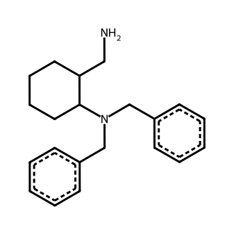 NCC1CCCCC1N(Cc1ccccc1)Cc1ccccc1